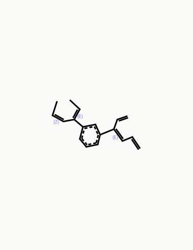 C=C/C=C(\C=C)c1cccc(C(/C=C\C)=C/C)c1